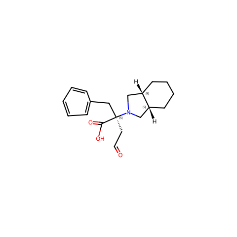 O=CC[C@@](Cc1ccccc1)(C(=O)O)N1C[C@H]2CCCC[C@H]2C1